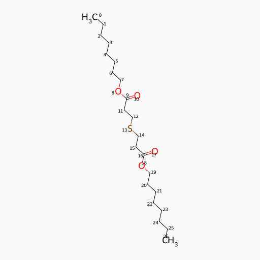 CCCCCCCCOC(=O)CCSCCC(=O)OCCCCCCCC